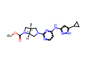 CC(C)(C)OC(=O)N1C[C@]2(C)CN(c3nccc(Nc4cc(C5CC5)[nH]n4)n3)C[C@H]12